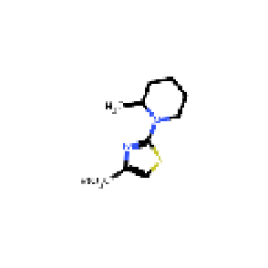 CCOC(=O)c1csc(N2CCCCC2C)n1